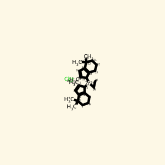 CC1=CC2=C(CCCC2(C)C)[CH]1[Zr+2]1([CH]2C(C)=CC3=C2CCCC3(C)C)[CH2][CH2]1.[Cl-].[Cl-]